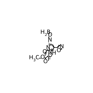 BOC=NC[C@@H]1C=C(c2cnco2)[C@@H]2CN1C(=O)N2OC(F)(F)C(=O)OCC